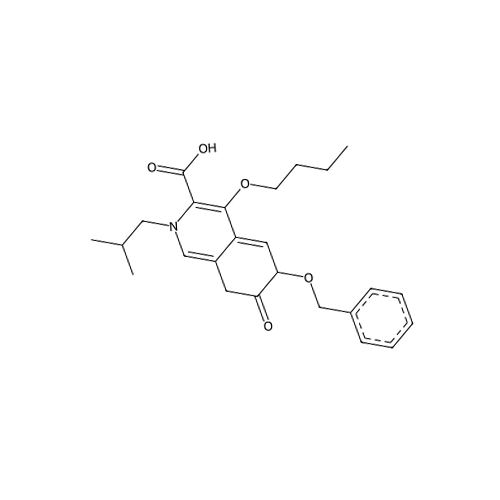 CCCCOC1=C(C(=O)O)N(CC(C)C)C=C2CC(=O)C(OCc3ccccc3)C=C21